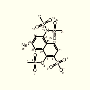 CS(=O)(=O)Oc1c(S(=O)(=O)[O-])ccc2c(N(S(C)(=O)=O)S(C)(=O)=O)cccc12.[Na+]